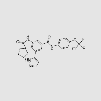 O=C(Nc1ccc(OC(F)(F)Cl)cc1)c1cc2c(c(-c3ccn[nH]3)c1)C1(CCCC1)C(=O)N2